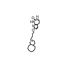 O=C1NCCc2ccc(OCCCCN3CCC4CCCCCCCC4C3)nc2N1